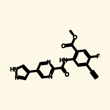 C#Cc1cc(NC(=O)c2ncc(-c3cn[nH]c3)cn2)c(C(=O)OC)cc1F